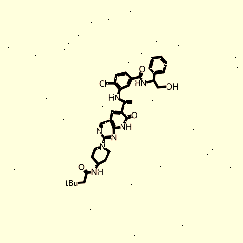 C=C(Nc1cc(C(=O)NC(CO)c2ccccc2)ccc1Cl)c1cc2cnc(N3CCC(NC(=O)CC(C)(C)C)CC3)nc2[nH]c1=O